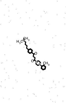 Cc1ccccc1N1CCN(C(=O)CCC(=O)c2ccc(CCCCN(C)C)cc2)CC1